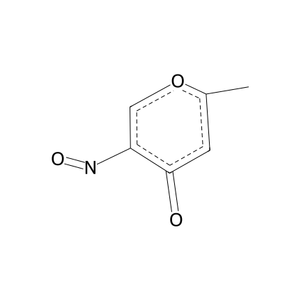 Cc1cc(=O)c(N=O)co1